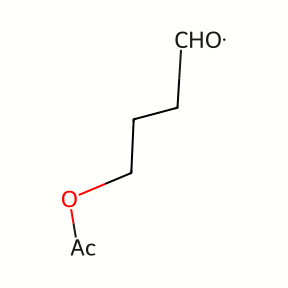 CC(=O)OCCC[C]=O